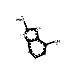 CSc1nc2cccc(C#N)c2s1